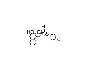 O=C(O)[C@@](O)(CSc1ccc(F)cc1)Cc1cccc2ccccc12